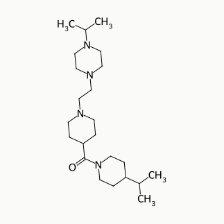 CC(C)C1CCN(C(=O)C2CCN(CCN3CCN(C(C)C)CC3)CC2)CC1